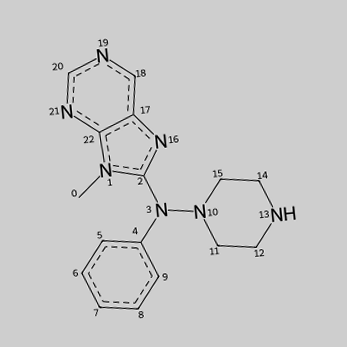 Cn1c(N(c2ccccc2)N2CCNCC2)nc2cncnc21